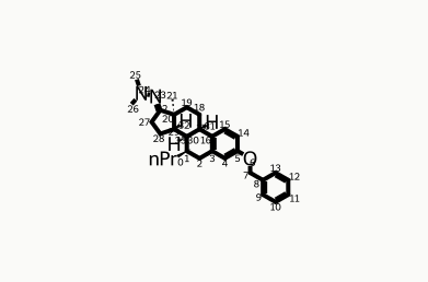 CCC[C@@H]1Cc2cc(OCc3ccccc3)ccc2[C@H]2CC[C@]3(C)/C(=N/N(C)C)CC[C@H]3[C@H]12